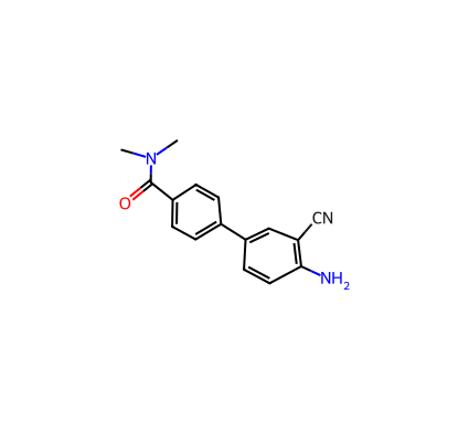 CN(C)C(=O)c1ccc(-c2ccc(N)c(C#N)c2)cc1